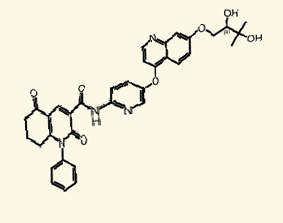 CC(C)(O)[C@H](O)COc1ccc2c(Oc3ccc(NC(=O)c4cc5c(n(-c6ccccc6)c4=O)CCCC5=O)nc3)ccnc2c1